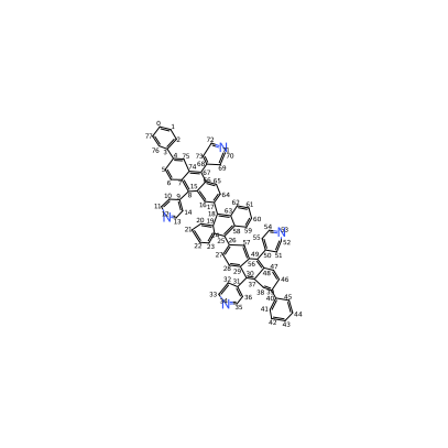 c1ccc(-c2ccc3c(-c4ccncc4)c4cc(-c5c6ccccc6c(-c6ccc7c(-c8ccncc8)c8cc(-c9ccccc9)ccc8c(-c8ccncc8)c7c6)c6ccccc56)ccc4c(-c4ccncc4)c3c2)cc1